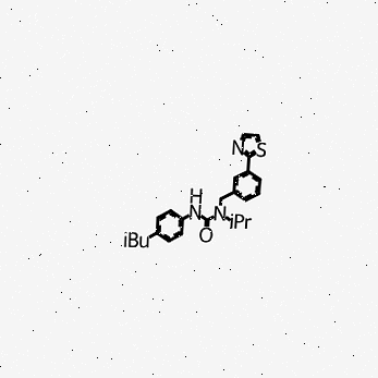 CCC(C)c1ccc(NC(=O)N(Cc2cccc(-c3nccs3)c2)C(C)C)cc1